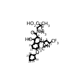 Cn1nc(C(F)(F)F)cc1-c1nc(C(=O)NCC(C)(C)C(=O)O)c(O)c2ccc(Oc3ccccc3)cc12